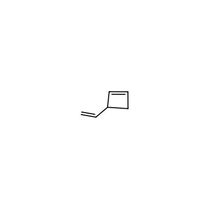 C=CC1C=CC1